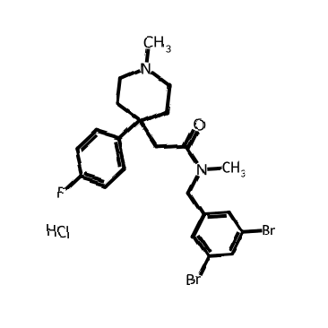 CN1CCC(CC(=O)N(C)Cc2cc(Br)cc(Br)c2)(c2ccc(F)cc2)CC1.Cl